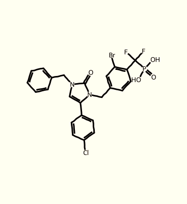 O=c1n(Cc2ccccc2)cc(-c2ccc(Cl)cc2)n1Cc1ccc(C(F)(F)P(=O)(O)O)c(Br)c1